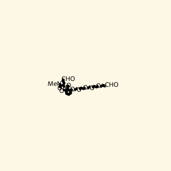 CNC(=O)C(CCC=O)N1C(=O)c2cccc(OCCOCCOCCOCCOC/C=C/C=O)c2C1=O